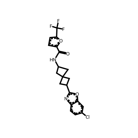 O=C(NC1CC2(C1)CC(c1nc3ccc(Cl)cc3o1)C2)c1ccc(C(F)(F)F)o1